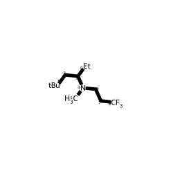 CCC(CC(C)(C)C)N(C)CCC(F)(F)F